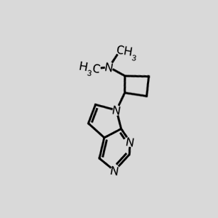 CN(C)C1CCC1n1ccc2cncnc21